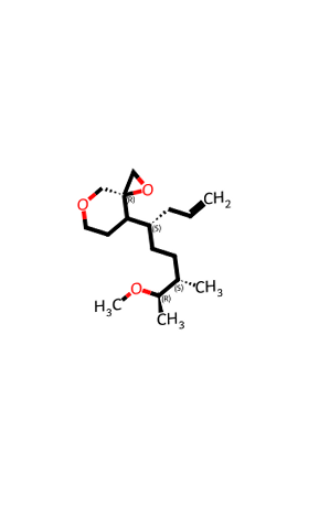 C=CC[C@H](CC[C@H](C)[C@@H](C)OC)C1CCOC[C@@]12CO2